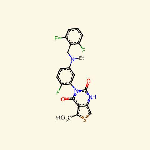 CCN(Cc1c(F)cccc1F)c1ccc(F)c(-n2c(=O)[nH]c3csc(C(=O)O)c3c2=O)c1